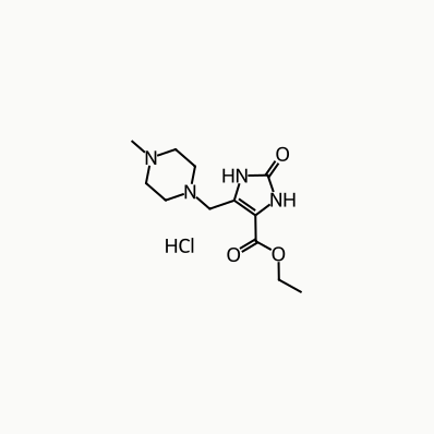 CCOC(=O)c1[nH]c(=O)[nH]c1CN1CCN(C)CC1.Cl